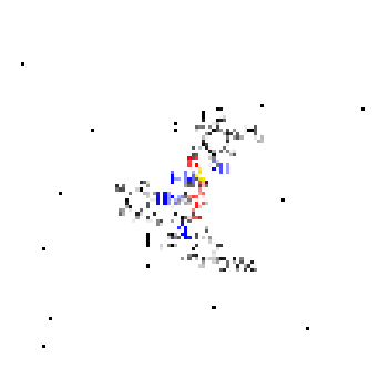 COc1ccc(N(C)C(=O)[C@H](Cc2ccccc2)NC(=O)NS(=O)(=O)Nc2ccc(C)c(C)c2)cc1